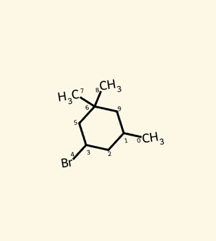 CC1CC(Br)CC(C)(C)C1